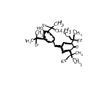 CCC(C)(C)C1=CC(=Cc2cc(C(C)(C)CC)c(O)c(C(C)(C)CC)c2)C=C(C(C)(C)CC)C1=O